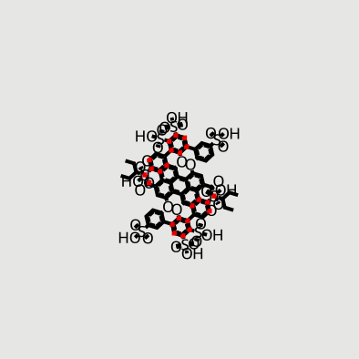 CCC(CC)N1C(=O)c2cc(Oc3ccc(S(=O)(=O)O)cc3-c3ccc(S(=O)(=O)O)cc3)c3c4c(Oc5ccc(S(=O)(=O)O)cc5-c5ccc(S(=O)(=O)O)cc5)cc5c6c(cc(Oc7ccc(S(=O)(=O)O)cc7-c7ccc(S(=O)(=O)O)cc7)c(c7c(Oc8ccc(S(=O)(=O)O)cc8-c8ccc(S(=O)(=O)O)cc8)cc(c2c37)C1=O)c64)C(=O)N(C(CC)CC)C5=O